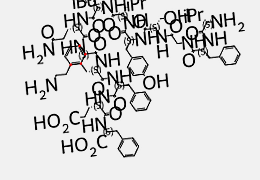 CC[C@H](C)[C@H](NC(=O)[C@@H](NC(=O)[C@H](Cc1ccc(O)cc1)NC(=O)[C@H](CO)NC(=O)CNC(=O)[C@H](Cc1ccccc1)NC(=O)[C@@H](N)C(C)C)C(C)C)C(=O)N[C@@H](CCC(N)=O)C(=O)N[C@@H](CCCCN)C(=O)N[C@@H](Cc1ccccc1)C(=O)N[C@@H](Cc1ccccc1)C(=O)N[C@@H](CCC(=O)O)C(=O)N[C@@H](Cc1ccccc1)C(=O)O